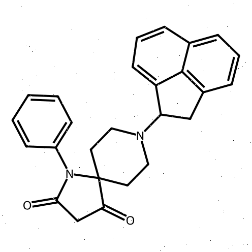 O=C1CC(=O)C2(CCN(C3Cc4cccc5cccc3c45)CC2)N1c1ccccc1